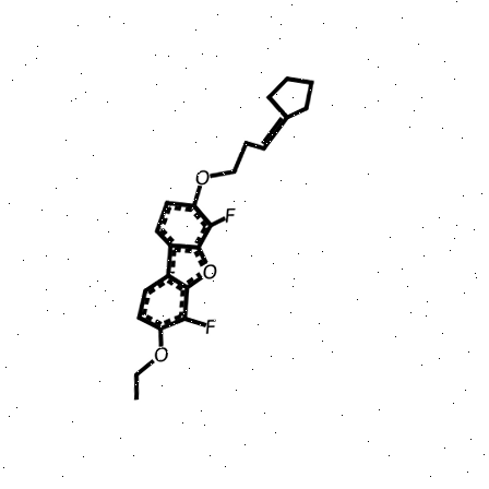 CCOc1ccc2c(oc3c(F)c(OCCC=C4CCCC4)ccc32)c1F